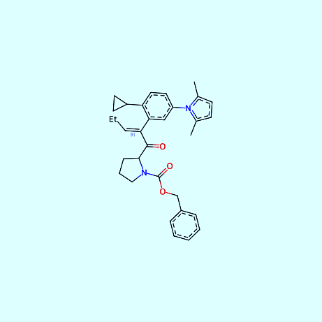 CC/C=C(/C(=O)C1CCCN1C(=O)OCc1ccccc1)c1cc(-n2c(C)ccc2C)ccc1C1CC1